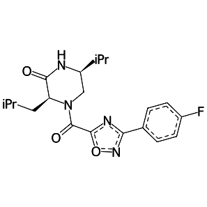 CC(C)C[C@H]1C(=O)N[C@@H](C(C)C)CN1C(=O)c1nc(-c2ccc(F)cc2)no1